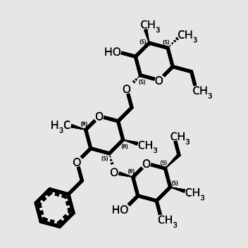 CCC1O[C@H](OCC2O[C@H](C)C(OCc3ccccc3)[C@@H](O[C@H]3O[C@@H](CC)[C@@H](C)C(C)C3O)[C@@H]2C)C(O)[C@@H](C)[C@@H]1C